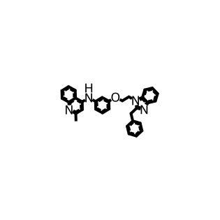 Cc1cc(Nc2cccc(OCCn3c(Cc4ccccc4)nc4ccccc43)c2)c2ccccc2n1